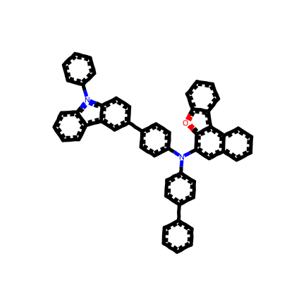 c1ccc(-c2ccc(N(c3ccc(-c4ccc5c(c4)c4ccccc4n5-c4ccccc4)cc3)c3cc4ccccc4c4c3oc3ccccc34)cc2)cc1